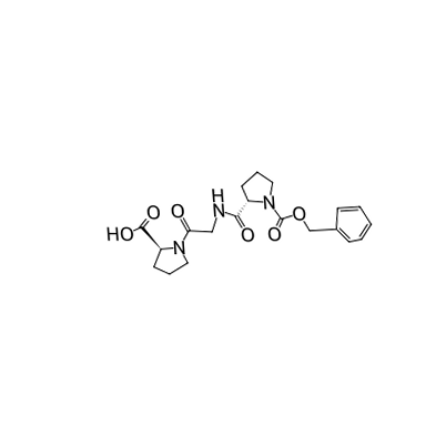 O=C(O)[C@@H]1CCCN1C(=O)CNC(=O)[C@@H]1CCCN1C(=O)OCc1ccccc1